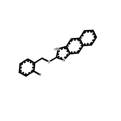 Fc1ccccc1CSc1nc2cc3ccccc3cc2[nH]1